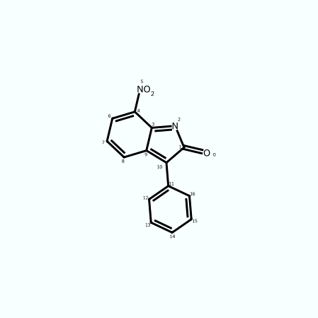 O=C1N=c2c([N+](=O)[O-])cccc2=C1c1ccccc1